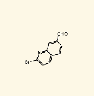 O=Cc1ccc2ccc(Br)nc2c1